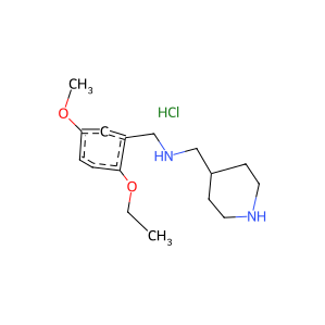 CCOc1ccc(OC)cc1CNCC1CCNCC1.Cl